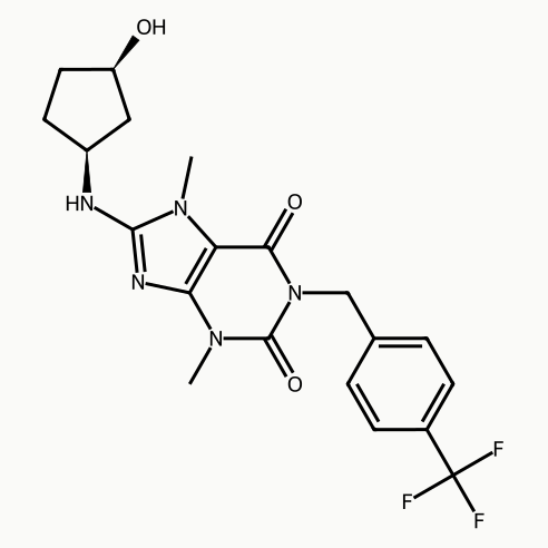 Cn1c(N[C@H]2CC[C@@H](O)C2)nc2c1c(=O)n(Cc1ccc(C(F)(F)F)cc1)c(=O)n2C